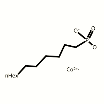 CCCCCCCCCCCCP(=O)([O-])[O-].[Co+2]